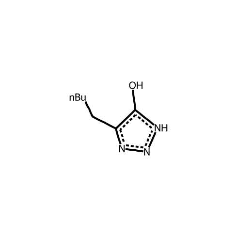 CCCCCc1nn[nH]c1O